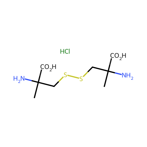 CC(N)(CSSCC(C)(N)C(=O)O)C(=O)O.Cl